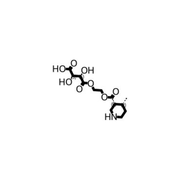 C[C@@H]1CCNC[C@@H]1C(=O)OCCOC(=O)[C@@H](O)[C@H](O)C(=O)O